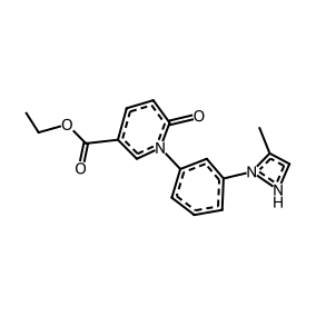 CCOC(=O)c1ccc(=O)n(-c2cccc(-n3[nH]cc3C)c2)c1